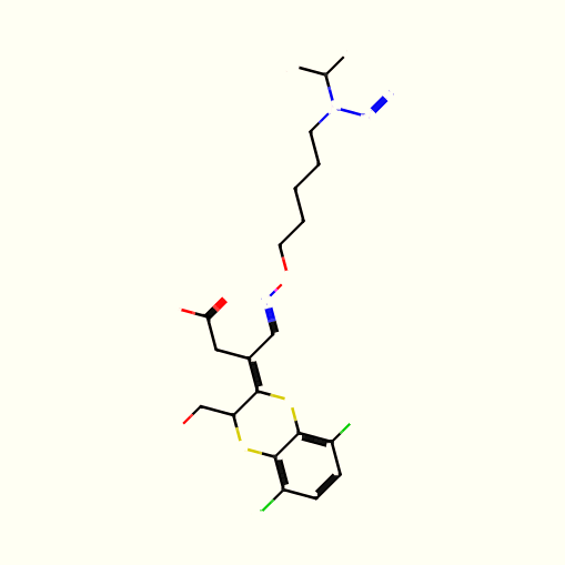 CC(C)N(CCCCCO/N=C/C(CC(=O)O)=C1\Sc2c(Cl)ccc(Cl)c2SC1CO)N=N